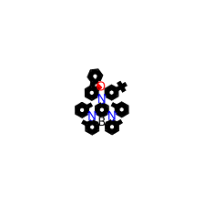 Cc1ccccc1N1c2cc(N(c3ccc(C(C)(C)C)cc3)c3cccc4c3oc3ccccc34)cc3c2B(c2cccc(C)c21)c1cccc(C)c1N3c1ccccc1C